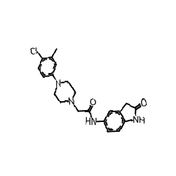 Cc1cc(N2CCN(CC(=O)Nc3ccc4c(c3)CC(=O)N4)CC2)ccc1Cl